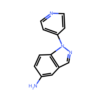 Nc1ccc2c(cnn2-c2ccncc2)c1